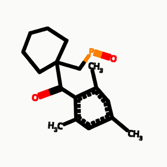 Cc1cc(C)c(C(=O)C2(CP=O)CCCCC2)c(C)c1